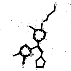 Cc1ccc(/C(=C\C2CCCC2)c2ccc(SCCCO)c(Cl)c2)[nH]c1=O